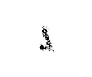 Cc1ccc(-c2cn3nc(N4CCC(C(=O)N(C)CCc5ccccn5)CC4)sc3n2)cc1